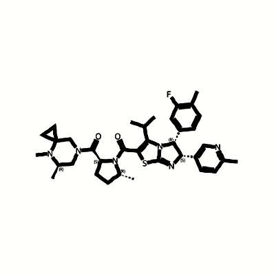 Cc1ccc([C@@H]2N=C3SC(C(=O)N4[C@H](C)CC[C@H]4C(=O)N4C[C@@H](C)N(C)C5(CC5)C4)=C(C(C)C)N3[C@@H]2c2ccc(C)c(F)c2)cn1